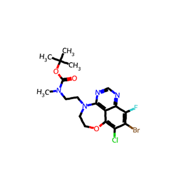 CN(CCN1CCOc2c(Cl)c(Br)c(F)c3ncnc1c23)C(=O)OC(C)(C)C